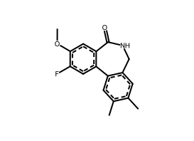 COc1cc2c(cc1F)-c1cc(C)c(C)cc1CNC2=O